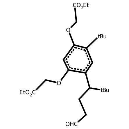 CCOC(=O)COc1cc(OCC(=O)OCC)c(C(C)(C)C)cc1C(CCC=O)C(C)(C)C